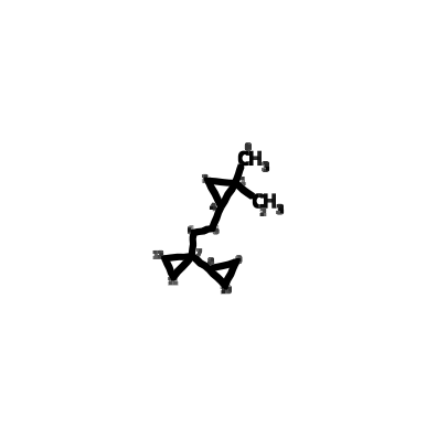 CC1(C)CC1CCC1(C2CC2)CC1